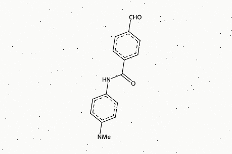 CNc1ccc(NC(=O)c2ccc(C=O)cc2)cc1